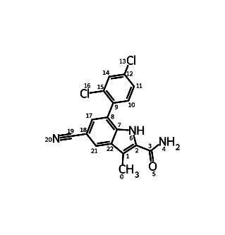 Cc1c(C(N)=O)[nH]c2c(-c3ccc(Cl)cc3Cl)cc(C#N)cc12